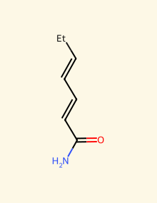 CCC=CC=CC(N)=O